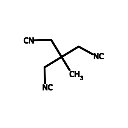 [C-]#[N+]CC(C)(C[N+]#[C-])C[N+]#[C-]